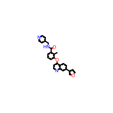 Cc1c(Oc2ccnc3cc(-c4ccoc4)ccc23)cccc1C(=O)NCc1ccncc1